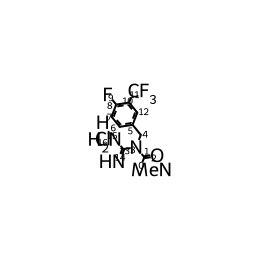 CNC(=O)N(Cc1ccc(F)c(C(F)(F)F)c1)C(=N)N.Cl